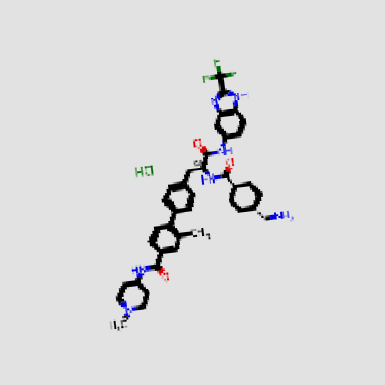 Cc1cc(C(=O)NC2CCN(C)CC2)ccc1-c1ccc(C[C@H](NC(=O)[C@H]2CC[C@H](CN)CC2)C(=O)Nc2ccc3[nH]c(C(F)(F)F)nc3c2)cc1.Cl